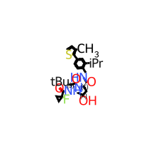 Cc1ccsc1-c1ccc(CNC(=O)[C@@H]2C[C@@H](O)CN2C(=O)[C@@H](NC(=O)C2(F)CC2)C(C)(C)C)c(C(C)C)c1